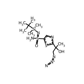 CC(O)(CN=[N+]=[N-])c1ncc(S(N)(=O)=N[Si](C)(C)C(C)(C)C)s1